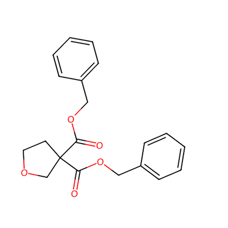 O=C(OCc1ccccc1)C1(C(=O)OCc2ccccc2)CCOC1